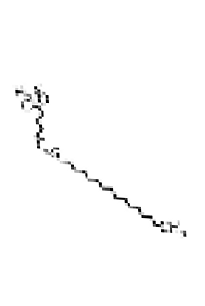 CCCCCCCCCCCCCCCCSC=C=CCCCC(=O)OC